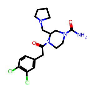 NC(=O)N1CCN(C(=O)Cc2ccc(Cl)c(Cl)c2)C(CN2CCCC2)C1